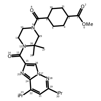 COC(=O)C1CCC(C(=O)N2CCN(C(=O)c3cn4nc(C(C)C)cc(C(C)C)c4n3)C(C)(C)C2)CC1